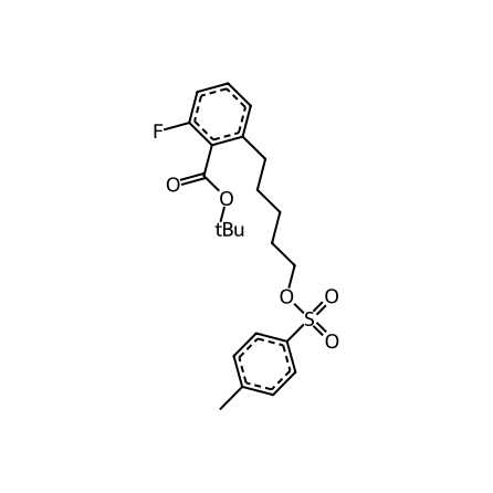 Cc1ccc(S(=O)(=O)OCCCCCc2cccc(F)c2C(=O)OC(C)(C)C)cc1